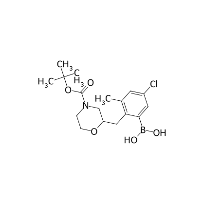 Cc1cc(Cl)cc(B(O)O)c1CC1CN(C(=O)OC(C)(C)C)CCO1